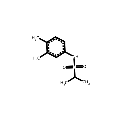 Cc1ccc(NS(=O)(=O)C(C)C)cc1C